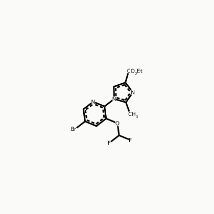 CCOC(=O)c1cn(-c2ncc(Br)cc2OC(F)F)c(C)n1